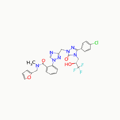 CN(Cc1ccco1)C(=O)c1ccccc1-n1cnc(Cn2nc(-c3ccc(Cl)cc3)n(C[C@H](O)C(F)(F)F)c2=O)n1